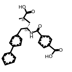 C[C@H](C[C@@H](Cc1ccc(-c2ccccc2)cc1)NC(=O)c1ccc(C(=O)O)cc1)C(=O)O